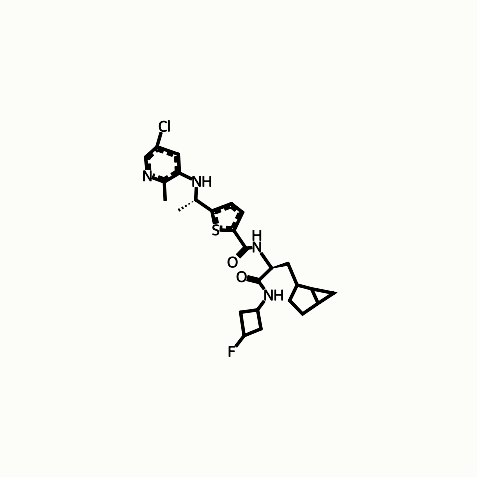 Cc1ncc(Cl)cc1N[C@@H](C)c1ccc(C(=O)N[C@@H](CC2CCC3CC32)C(=O)NC2CC(F)C2)s1